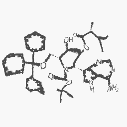 CC(C)[C@H](C)C(=O)O[C@@H]1[C@H](O)[C@@H](COC(c2ccccc2)(c2ccccc2)c2ccccc2)N(C(=O)OC(C)(C)C)[C@H]1c1c[nH]c2c(N)ncnc12